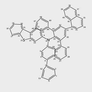 c1ccc(-c2ccc(N(c3ccc4c(c3)sc3ccccc34)c3c(-c4ccccc4)cc(-c4cccc5ccccc45)cc3-c3ccccc3)cc2)cc1